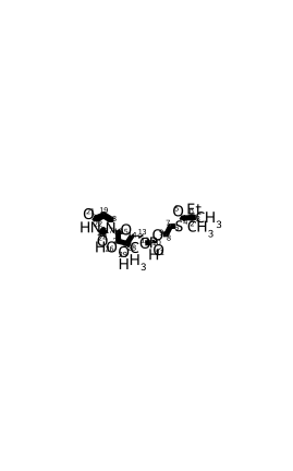 CCC(C)(C)C(=O)SCCO[PH](=O)OC[C@H]1O[C@@H](n2ccc(=O)[nH]c2=O)[C@@H](O)C1(C)O